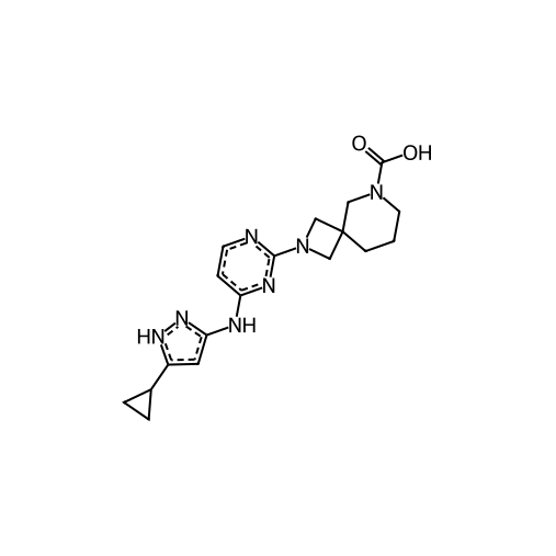 O=C(O)N1CCCC2(C1)CN(c1nccc(Nc3cc(C4CC4)[nH]n3)n1)C2